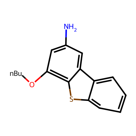 CCCCOc1cc(N)cc2c1sc1ccccc12